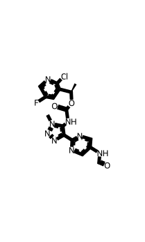 C[C@@H](OC(=O)Nc1c(-c2ncc(NC=O)cn2)nnn1C)c1cc(F)cnc1Cl